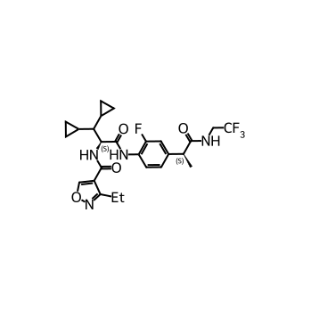 CCc1nocc1C(=O)N[C@H](C(=O)Nc1ccc([C@H](C)C(=O)NCC(F)(F)F)cc1F)C(C1CC1)C1CC1